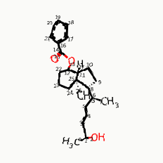 C[C@H](O)CCC[C@H](C)[C@H]1CC[C@H]2C(OC(=O)c3ccccc3)CCC[C@]12C